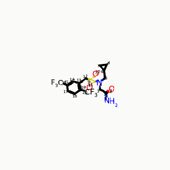 NC(=O)CN(CC1CC1)S(=O)(=O)Cc1cc(C(F)(F)F)ccc1C(F)(F)F